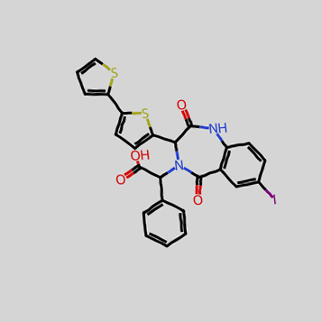 O=C(O)C(c1ccccc1)N1C(=O)c2cc(I)ccc2NC(=O)C1c1ccc(-c2cccs2)s1